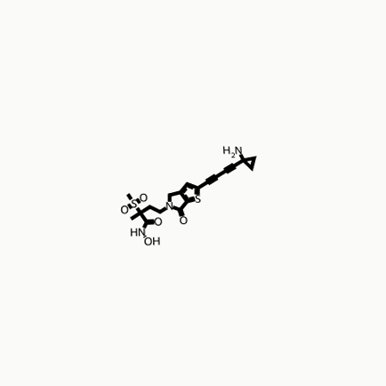 CC(CCN1Cc2cc(C#CC#CC3(N)CC3)sc2C1=O)(C(=O)NO)S(C)(=O)=O